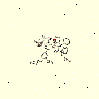 C=CCOC(=O)C(N1C(=O)[C@H](C(C)O[Si](C)(C)C(C)(C)C)[C@H]1CC(=O)c1ccc(CC(=O)O)c(C)c1)=P(c1ccccc1)(c1ccccc1)c1ccccc1